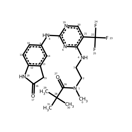 CN(CCNc1nc(Nc2ccc3c(c2)CC(=O)N3)ncc1C(F)(F)F)C(=O)C(C)(C)C